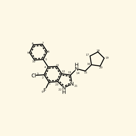 Fc1c(Cl)c(-c2ccccc2)cc2c(NCC3CCCC3)n[nH]c12